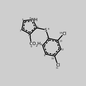 O=C(O)c1cc[nH]c1Sc1ccc(Cl)cc1Cl